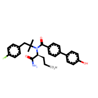 CC(C)(Cc1ccc(F)cc1)N(C(=O)c1ccc(-c2ccc(O)cc2)cc1)[C@@H](CCC(=O)O)C(N)=O